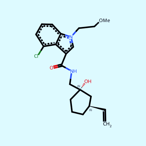 C=C[C@H]1CCC[C@@](O)(CNC(=O)c2cn(CCOC)c3cccc(Cl)c23)C1